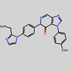 CNCc1nccn1-c1ccc(C2N=Cc3ncn(-c4ccc(OC)cc4)c3C2=O)cc1